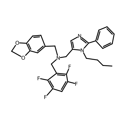 CCCCn1c(CN(Cc2ccc3c(c2)OCO3)Cc2c(F)c(F)cc(F)c2F)cnc1-c1ccccc1